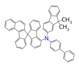 CC1(C)c2ccccc2-c2ccc(N(c3ccc(-c4ccccc4)cc3)c3cccc4c3-c3ccccc3C43c4ccccc4-c4c3ccc3ccccc43)cc21